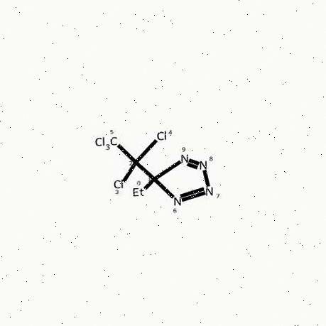 CCC1(C(Cl)(Cl)C(Cl)(Cl)Cl)N=NN=N1